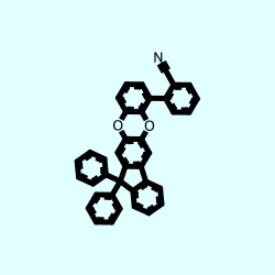 N#Cc1ccccc1-c1cccc2c1Oc1cc3c(cc1O2)C(c1ccccc1)(c1ccccc1)c1ccccc1-3